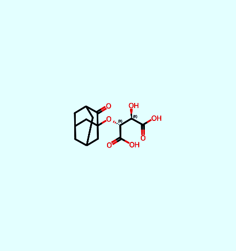 O=C(O)[C@H](O)[C@@H](OC12CC3CC(CC(C3)C1=O)C2)C(=O)O